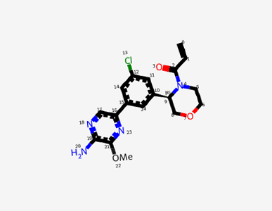 C=CC(=O)N1CCOC[C@H]1c1cc(Cl)cc(-c2cnc(N)c(OC)n2)c1